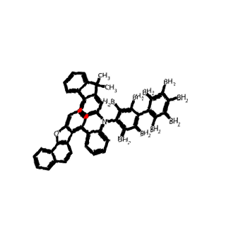 Bc1c(B)c(B)c(-c2c(B)c(B)c(N(c3ccc4c(c3)C(C)(C)c3ccccc3-4)c3ccccc3-c3cccc4oc5c6ccccc6ccc5c34)c(B)c2B)c(B)c1B